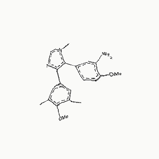 COc1ccc(-c2c(-c3cc(C)c(OC)c(C)c3)ncn2C)cc1N